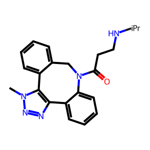 CC(C)NCCC(=O)N1Cc2ccccc2-c2c(nnn2C)-c2ccccc21